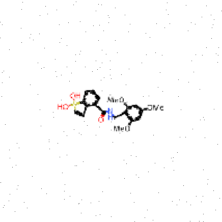 COc1cc(OC)c(CNC(=O)c2cccc3c2C=CS3(O)O)c(OC)c1